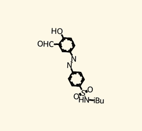 CCC(C)NS(=O)(=O)c1ccc(/N=N/c2ccc(O)c(C=O)c2)cc1